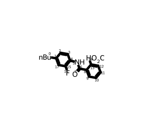 CCCCc1ccc(NC(=O)c2ccccc2C(=O)O)c(F)c1